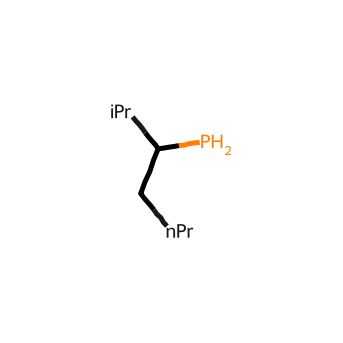 CCCCC(P)C(C)C